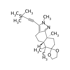 Cn1nc2c(c1C#C[Si](C)(C)C)CC[C@H]1C(C)(C)C3(CC[C@]21C)OCCO3